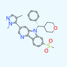 Cc1cnn(C)c1-c1cnc2c3ccc(S(C)(=O)=O)cc3n([C@H](c3ccccc3)C3CCOCC3)c2c1